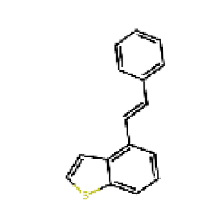 C(=Cc1cccc2sccc12)c1ccccc1